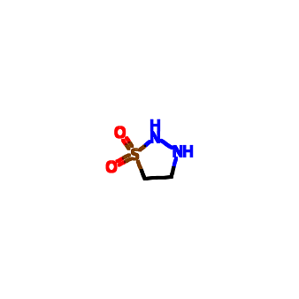 O=S1(=O)CCNN1